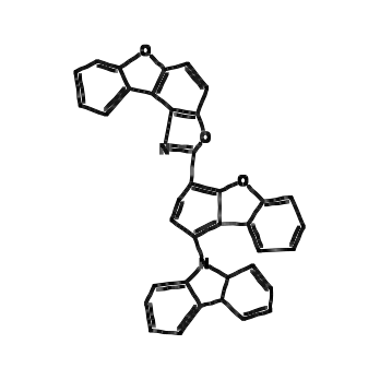 C1=CC2c3ccccc3N(c3ccc(-c4nc5c(ccc6oc7ccccc7c65)o4)c4oc5ccccc5c34)C2C=C1